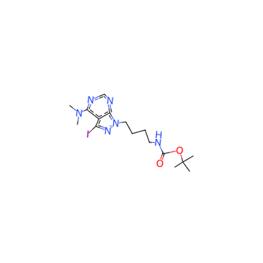 CN(C)c1ncnc2c1c(I)nn2CCCCNC(=O)OC(C)(C)C